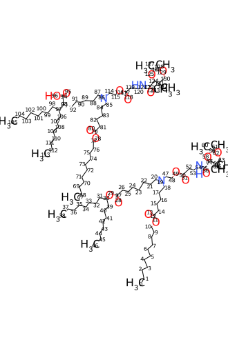 CCCCCCCCCCCOC(=O)CCCCCN(CCCCCCCC(=O)OC(CCCCCCCC)CCCCCCCC)CCOC(=O)CCNC(=O)[C@@H]1OC(C)(C)OCC1(C)C.CCCCCCCCCCCOC(=O)CCCCCN(CCCCCC[C@@H](C(=O)O)C(CCCCCCCC)CCCCCCCC)CCOC(=O)CCNC(=O)C1OC(C)(C)OCC1(C)C